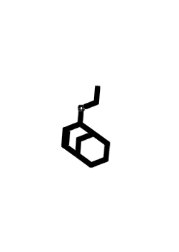 CCOC1C=CC2CCCC1C2